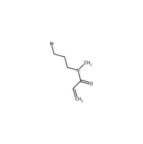 C=CC(=O)N(C)CCCBr